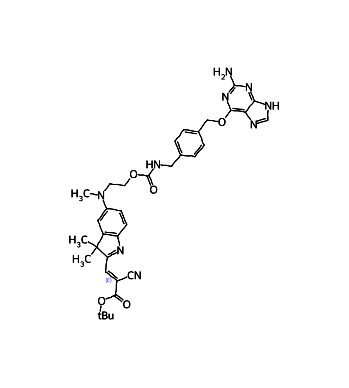 CN(CCOC(=O)NCc1ccc(COc2nc(N)nc3[nH]cnc23)cc1)c1ccc2c(c1)C(C)(C)C(/C=C(\C#N)C(=O)OC(C)(C)C)=N2